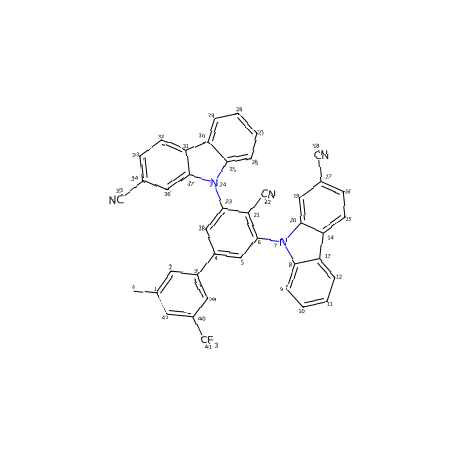 Cc1cc(-c2cc(-n3c4ccccc4c4ccc(C#N)cc43)c(C#N)c(-n3c4ccccc4c4ccc(C#N)cc43)c2)cc(C(F)(F)F)c1